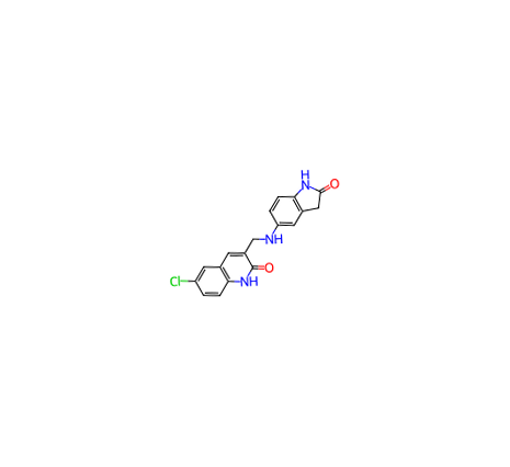 O=C1Cc2cc(NCc3cc4cc(Cl)ccc4[nH]c3=O)ccc2N1